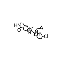 Cn1c(-c2cc3ccc(Cl)nc3n2CC2CC2)nc2cc3c(cc21)CCNC3=O